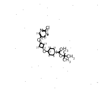 CC(C)(C)OC(=O)N1CCC(O[C@H]2C[C@H](Oc3cnc(Cl)nc3)C2)CC1